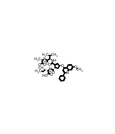 CCC[C@H](NC(=O)[C@H]1C[C@H](Oc2cc(-c3ccccc3)nc3cc(OC)ccc23)C=C1C(=O)N[C@H](C(=O)N[C@@H](C)C(=O)OC)C(C)C)C(=O)O